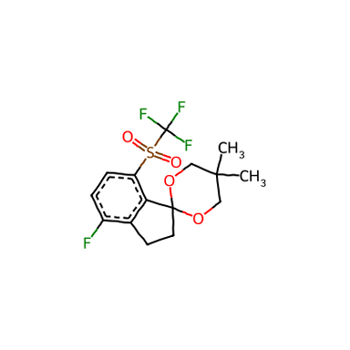 CC1(C)COC2(CCc3c(F)ccc(S(=O)(=O)C(F)(F)F)c32)OC1